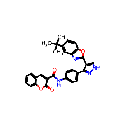 CC(C)(C)c1ccc2oc(-c3c[nH]nc3-c3ccc(NC(=O)c4cc5ccccc5oc4=O)cc3)nc2c1